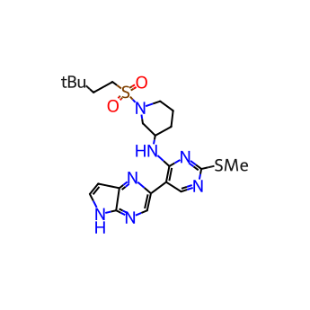 CSc1ncc(-c2cnc3[nH]ccc3n2)c(NC2CCCN(S(=O)(=O)CCC(C)(C)C)C2)n1